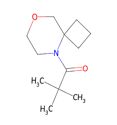 CC(C)(C)C(=O)N1CCOCC12CCC2